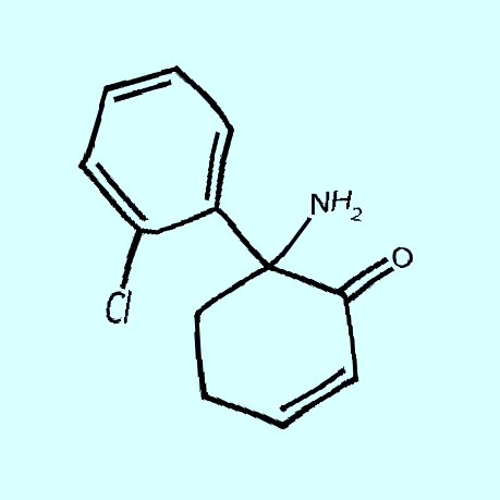 NC1(c2ccccc2Cl)CCC=CC1=O